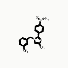 N[S+]([O-])c1ccc(-c2nc(C(F)(F)F)cn2Cc2cccc(C(F)(F)F)c2)cc1